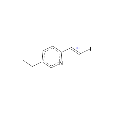 CCc1ccc(/C=C/I)nc1